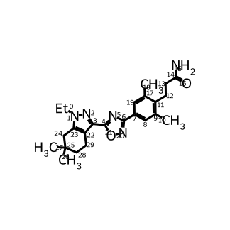 CCn1nc(-c2nc(-c3cc(C)c(CCC(N)=O)c(C)c3)no2)c2c1CC(C)(C)CC2